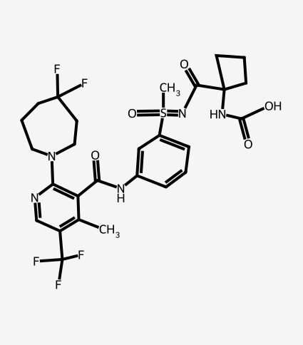 Cc1c(C(F)(F)F)cnc(N2CCCC(F)(F)CC2)c1C(=O)Nc1cccc(S(C)(=O)=NC(=O)C2(NC(=O)O)CCC2)c1